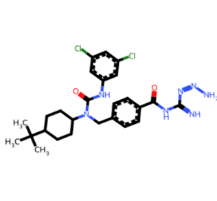 CC(C)(C)C1CCC(N(Cc2ccc(C(=O)NC(=N)/N=N\N)cc2)C(=O)Nc2cc(Cl)cc(Cl)c2)CC1